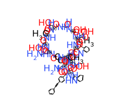 CC(CC(=O)O)[C@@H]1NC(=O)[C@@H](CO)NC(=O)CNC(=O)[C@H](CC(=O)O)NC(=O)[C@@H](C)NC(=O)[C@H](CC(=O)O)NC(=O)[C@H](CCCN)NC(=O)CN(C)C(=O)[C@@H](NC(=O)[C@H](CC(=O)O)NC(=O)[C@@H](CC(N)=O)NC(=O)[C@H](Cc2c[nH]c3ccccc23)NC(=O)c2ccc(C#Cc3ccccc3)cc2)[C@@H](C)OC(=O)[C@H](CC(=O)c2ccccc2N)NC1=O